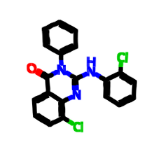 O=c1c2cccc(Cl)c2nc(Nc2ccccc2Cl)n1-c1ccccc1